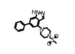 CS(=O)(=O)N1CCN(c2cc(-c3ccccc3)cc3[nH]ncc23)CC1